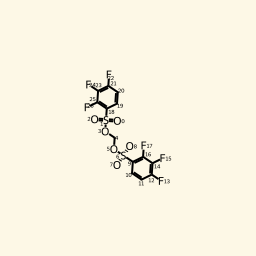 O=S(=O)(OCOS(=O)(=O)c1ccc(F)c(F)c1F)c1ccc(F)c(F)c1F